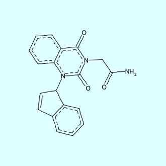 NC(=O)Cn1c(=O)c2ccccc2n(C2C=Cc3ccccc32)c1=O